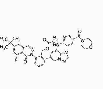 CC(=O)OCc1c(-c2cc(Nc3ccc(C(=O)N4CCOCC4)cn3)c3ncnn3c2)cccc1-n1ncc2cc(C(C)(C)C)cc(F)c2c1=O